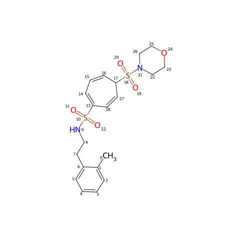 Cc1ccccc1CCNS(=O)(=O)C1=CC=CC(S(=O)(=O)N2CCOCC2)C=C1